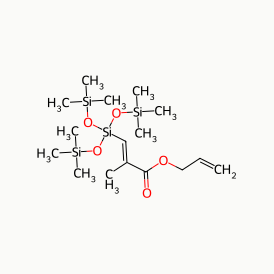 C=CCOC(=O)C(C)=C[Si](O[Si](C)(C)C)(O[Si](C)(C)C)O[Si](C)(C)C